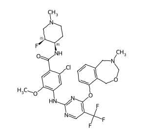 COc1cc(C(=O)N[C@@H]2CCN(C)C[C@@H]2F)c(Cl)cc1Nc1ncc(C(F)(F)F)c(Oc2cccc3c2COCN(C)C3)n1